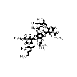 CCCCC(CC)COC1=NC(=S)N(C(=O)OC)C(=O)C1=C1Sc2c(OC(C)(C)CC)c3c(c(OC(C)(C)CC)c2S1)SC(=C1C(=O)N(C(=O)OC)C(=S)N=C1OCC(CC)CCCC)S3